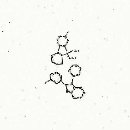 CCCCCCCCC1(CCCCCCCC)c2cc(C)ccc2-c2ccc(-c3cc(C)cc(-c4nc5ccccc5n4-c4ccccc4)c3)cc21